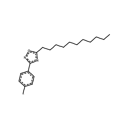 [CH2]c1ccc(-c2noc(CCCCCCCCCCC)n2)cc1